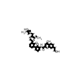 COc1nc(-c2cccc(-c3cccc(NC(=O)c4cc(C)c5c(n4)CC(CCO)CC5)c3Cl)c2Cl)cnc1CN1CC(C)(O)C1